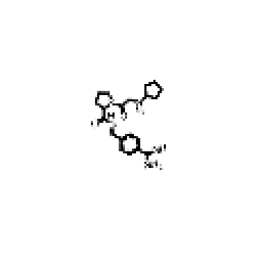 N=C(N)c1ccc(CNC(=O)C2CCCN2C(=O)CNC2CCCC2)cc1